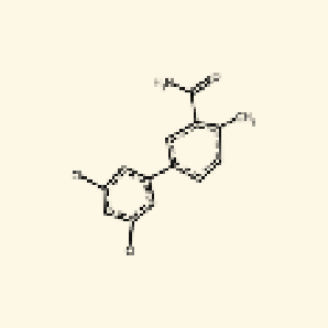 Cc1ccc(-c2cc(Cl)cc(Cl)c2)cc1C(N)=O